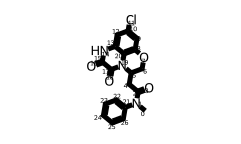 CN(C(=O)CC1COc2cc(Cl)cc3[nH]c(=O)c(=O)n1c23)c1ccccc1